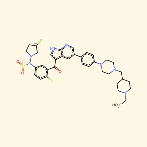 O=C(O)CN1CCC(CN2CCN(c3ccc(-c4cnc5[nH]cc(C(=O)c6cc(N(N7CC[C@@H](F)C7)[SH](=O)=O)ccc6F)c5c4)cc3)CC2)CC1